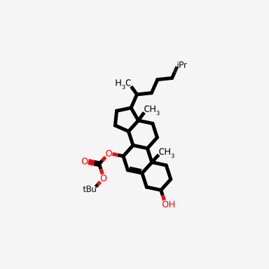 CC(C)CCCC(C)C1CCC2C3C(OC(=O)OC(C)(C)C)C=C4CC(O)CCC4(C)C3CCC12C